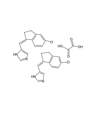 Clc1ccc2c(c1)CC/C2=C/c1cnc[nH]1.Clc1ccc2c(c1)CC/C2=C/c1cnc[nH]1.O=C(O)C(=O)O